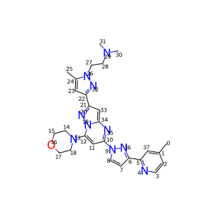 Cc1ccnc(-c2ccn(-c3cc(N4CCOCC4)n4nc(-c5cc(C)n(CCN(C)C)n5)cc4n3)n2)c1